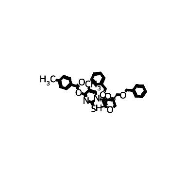 Cc1ccc(C(=O)Oc2nc(=S)n([C@@H]3O[C@]4(COCc5ccccc5)CO[C@H]3C4OCc3ccccc3)cc2C)cc1